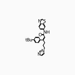 CC(C)(C)c1ccc(C(=CC(=O)Nc2ccc3ncsc3c2)CCCn2ccnc2)cc1